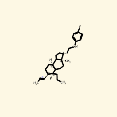 C/C=C/[C@H]1CC[C@H]2C3CC[C@H](CCNc4ccc(F)cc4)[C@@]3(C)CCC2[C@@]1(F)CCC